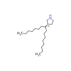 CCCCCCCCC(CCCCCCC)[C@@H]1CCNC1